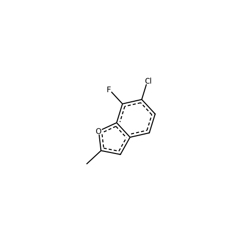 Cc1cc2ccc(Cl)c(F)c2o1